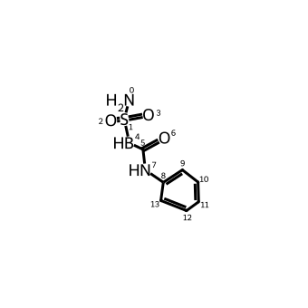 NS(=O)(=O)BC(=O)Nc1ccccc1